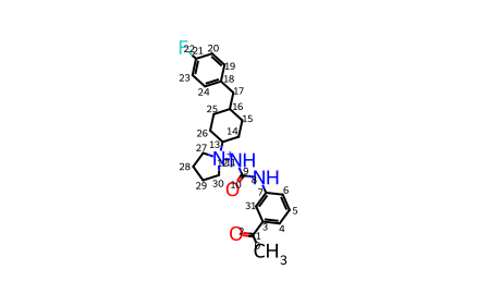 CC(=O)c1cccc(NC(=O)N[N+]2(C3CCC(Cc4ccc(F)cc4)CC3)CCCC2)c1